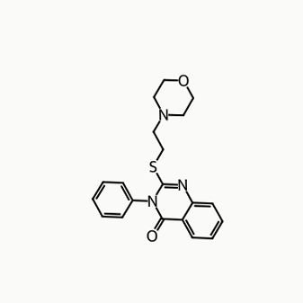 O=c1c2ccccc2nc(SCCN2CCOCC2)n1-c1ccccc1